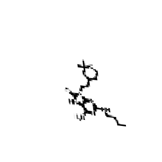 CCCCNc1nc(N)c2[nH]c(=O)n(CCC3CCOC(C)(C)C3)c2n1